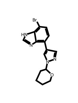 Brc1ccc(-c2cnn(C3CCCCO3)c2)c2nc[nH]c12